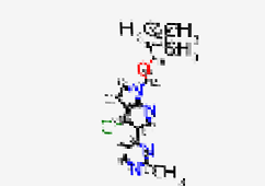 Cc1nccc(-c2cnc3c(ccn3COCC[Si](C)(C)C)c2Cl)n1